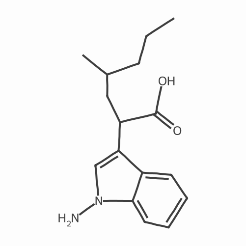 CCCC(C)CC(C(=O)O)c1cn(N)c2ccccc12